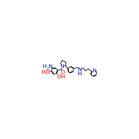 Nc1cc(C(=O)N2CCCC2c2cccc(CNCCCc3ccccn3)c2)c(O)cc1O